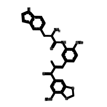 COc1ccc(C=C(C)C(=O)c2cc(OC)c3c(c2)OCO3)cc1NC(=O)C(N)Cc1ccc2[nH]ccc2c1